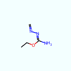 C=N/N=C(/N)OCC